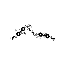 CC(OCCOCCOC(C)Oc1ccc(C(C)(C)c2ccc(OCC3CO3)cc2)cc1)Oc1ccc(C(C)(C)c2ccc(OCC3CO3)cc2)cc1